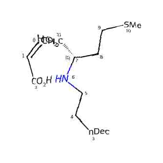 C=CC(=O)O.CCCCCCCCCCCCN[C@@H](CCSC)C(=O)O